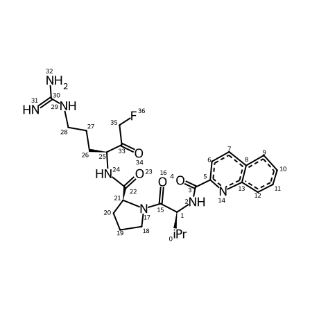 CC(C)[C@H](NC(=O)c1ccc2ccccc2n1)C(=O)N1CCC[C@H]1C(=O)N[C@@H](CCCNC(=N)N)C(=O)CF